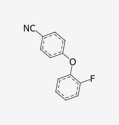 N#Cc1ccc(Oc2ccccc2F)cc1